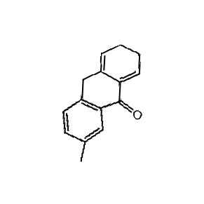 Cc1ccc2c(c1)C(=O)C1=CCCC=C1C2